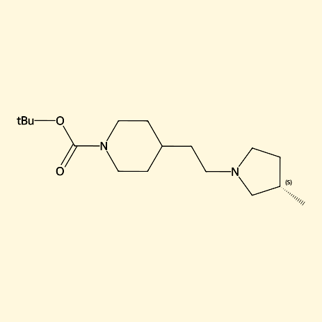 C[C@H]1CCN(CCC2CCN(C(=O)OC(C)(C)C)CC2)C1